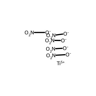 O=[N+]([O-])[O-].O=[N+]([O-])[O-].O=[N+]([O-])[O-].O=[N+]([O-])[O-].O=[N+]([O-])[O-].[Ti+5]